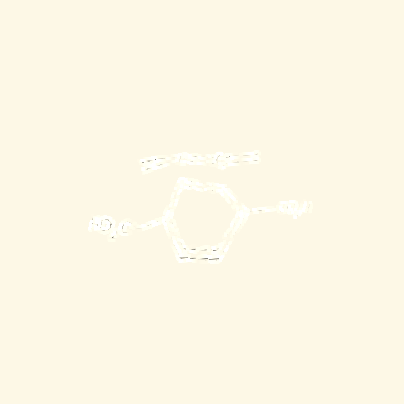 C=C=C=C.O=C(O)c1ccc(C(=O)O)cc1